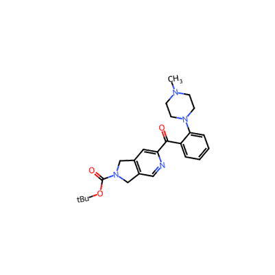 CN1CCN(c2ccccc2C(=O)c2cc3c(cn2)CN(C(=O)OC(C)(C)C)C3)CC1